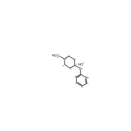 Cl.O=C(O)N1CCC(Oc2ccccn2)CC1